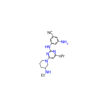 CCCc1cc(N2CCCC(NCC)C2)nc(Nc2cc(N)cc(C#N)c2)n1